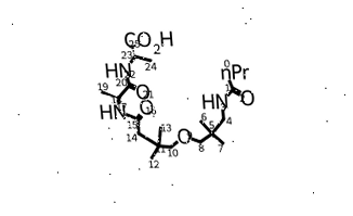 CCCC(=O)NCC(C)(C)COCC(C)(C)CC(=O)N[C@@H](C)C(=O)N[C@@H](C)C(=O)O